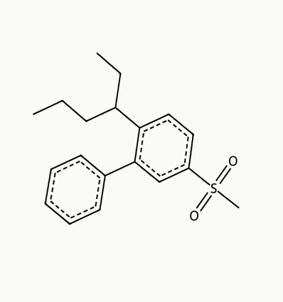 CCCC(CC)c1ccc(S(C)(=O)=O)cc1-c1ccccc1